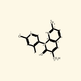 Cc1cc(Cl)ncc1-n1c(=O)c(C(=O)O)cc2ccc(C(F)(F)F)nc21